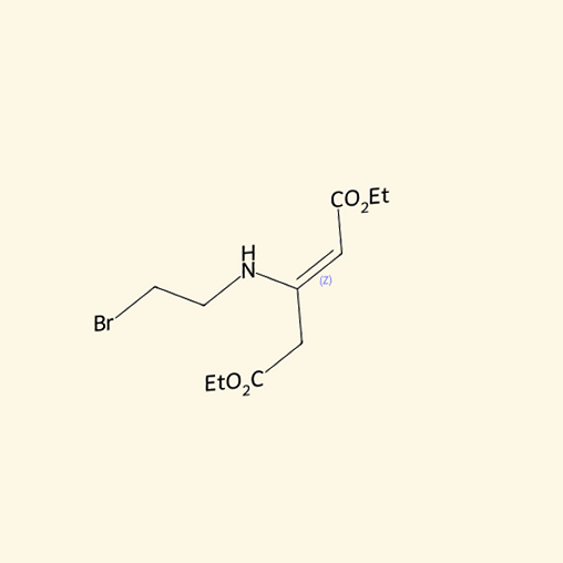 CCOC(=O)/C=C(/CC(=O)OCC)NCCBr